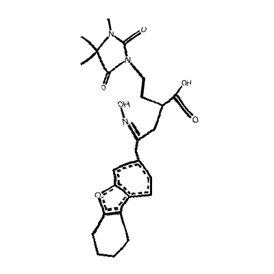 CN1C(=O)N(CCC(CC(=NO)c2ccc3c4c(oc3c2)CCCC4)C(=O)O)C(=O)C1(C)C